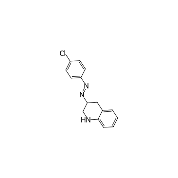 Clc1ccc(N=NC2CNc3ccccc3C2)cc1